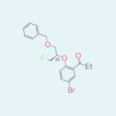 CCC(=O)c1cc(Br)ccc1O[C@@H](CF)COCc1ccccc1